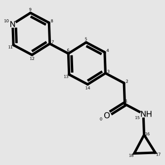 O=C(Cc1ccc(-c2ccncc2)cc1)NC1CC1